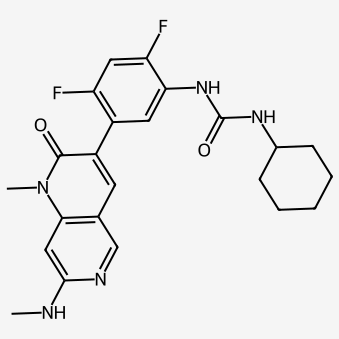 CNc1cc2c(cn1)cc(-c1cc(NC(=O)NC3CCCCC3)c(F)cc1F)c(=O)n2C